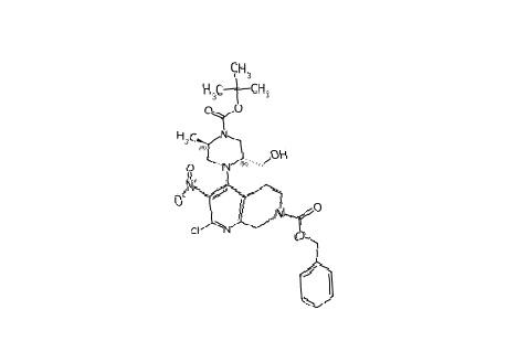 C[C@@H]1CN(c2c3c(nc(Cl)c2[N+](=O)[O-])CN(C(=O)OCc2ccccc2)CC3)[C@@H](CO)CN1C(=O)OC(C)(C)C